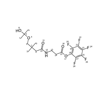 CC(C)(COC(C)(C)O)CC(=O)NCCC(=O)Oc1c(F)c(F)c(F)c(F)c1F